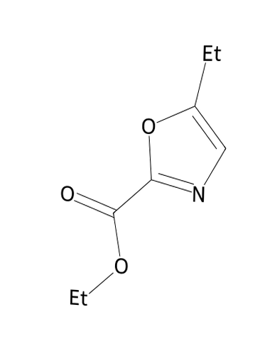 CCOC(=O)c1ncc(CC)o1